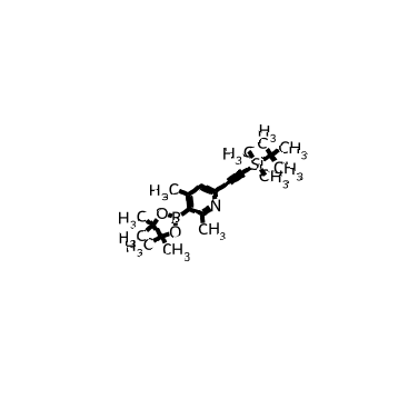 Cc1cc(C#C[Si](C)(C)C(C)(C)C)nc(C)c1B1OC(C)(C)C(C)(C)O1